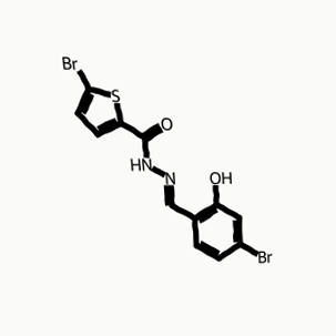 O=C(NN=Cc1ccc(Br)cc1O)c1ccc(Br)s1